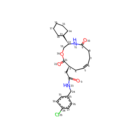 O=C(C[C@@H]1CC=CCCC(=O)N[C@H](C2CCCCC2)COC1=O)NCc1ccc(Cl)cc1